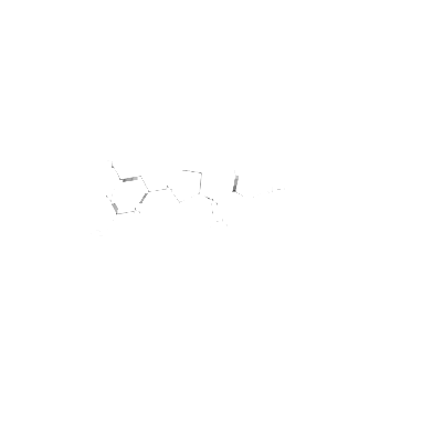 CN(C(=O)OC(C)(C)C)[C@@H]1CCN(c2cc(Cl)nc(C(C)(C)C)n2)C1